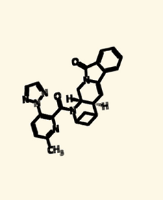 Cc1ccc(-n2nccn2)c(C(=O)N2C3CC(C3)[C@@H]3C=C4c5ccccc5C(=O)N4C[C@H]32)n1